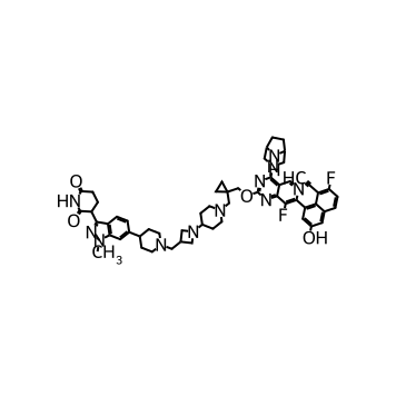 C#Cc1c(F)ccc2cc(O)cc(-c3ncc4c(N5CC6CCC(C5)N6)nc(OCC5(CN6CCC(N7CC(CN8CCC(c9ccc%10c(C%11CCC(=O)NC%11=O)nn(C)c%10c9)CC8)C7)CC6)CC5)nc4c3F)c12